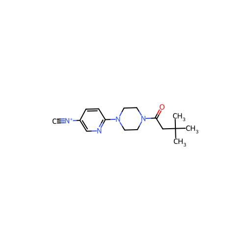 [C-]#[N+]c1ccc(N2CCN(C(=O)CC(C)(C)C)CC2)nc1